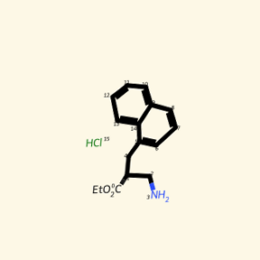 CCOC(=O)C(CN)Cc1cccc2ccccc12.Cl